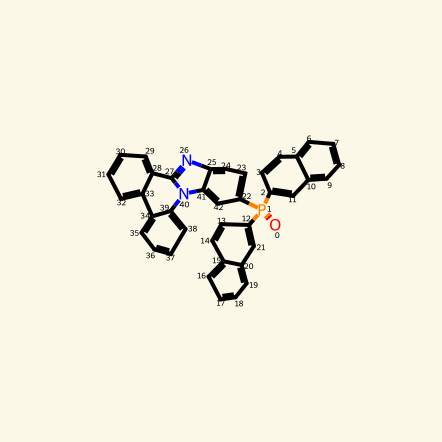 O=P(c1ccc2ccccc2c1)(c1ccc2ccccc2c1)c1ccc2nc3c4ccccc4c4ccccc4n3c2c1